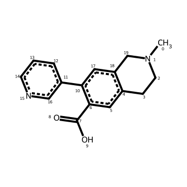 CN1CCc2cc(C(=O)O)c(-c3cccnc3)cc2C1